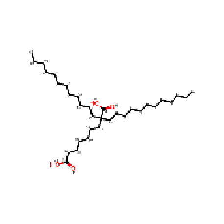 CCCCCCCCCCCCC(CCCCCCCCCCCC)(CCCCCCC(=O)O)C(=O)O